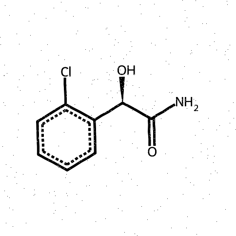 NC(=O)[C@H](O)c1ccccc1Cl